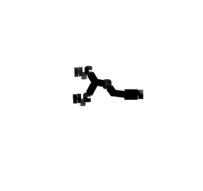 CC(C)OCC#N